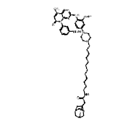 COc1cc(N2CCN(CCCCCCCCCCCCNC(=O)CC34CC5CC(CC3C5)C4)CC2)ccc1Nc1ncc2c(C)cc(=O)n(-c3cccc(NC(C)=O)c3)c2n1